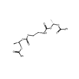 CC(C)C(=O)O[C@@H](C)OC(=O)NCCSC(=O)O[C@H](C)OC(=O)C(C)C